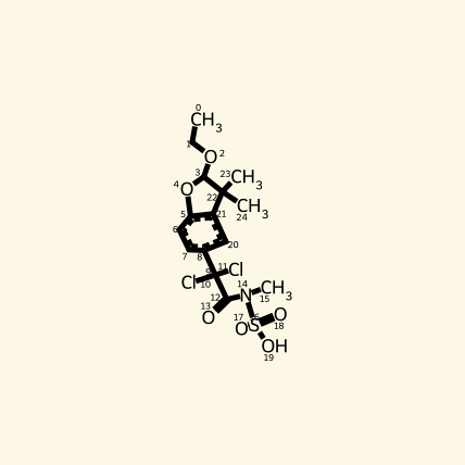 CCOC1Oc2ccc(C(Cl)(Cl)C(=O)N(C)S(=O)(=O)O)cc2C1(C)C